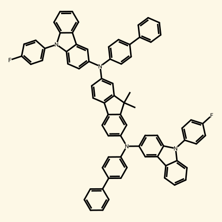 CC1(C)c2cc(N(c3ccc(-c4ccccc4)cc3)c3ccc4c(c3)c3ccccc3n4-c3ccc(F)cc3)ccc2-c2ccc(N(c3ccc(-c4ccccc4)cc3)c3ccc4c(c3)c3ccccc3n4-c3ccc(F)cc3)cc21